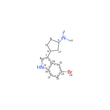 CN(C)C1CCC(c2c[nH]c3ccc(Br)cc23)C1